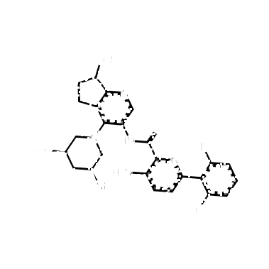 C[C@@H]1C[C@H](N)CN(c2c(NC(=O)c3nc(-c4c(F)cccc4F)ccc3N)cnc3c2CCC3O)C1